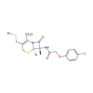 CC(=O)SCC1=C(C(=O)O)N2C(=O)[C@](C)(NC(=O)COc3ccc(Cl)cc3)[C@H]2SC1